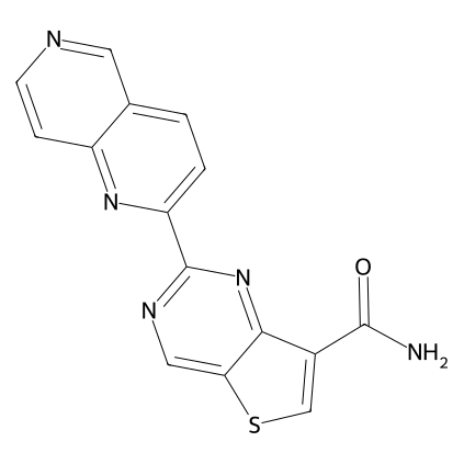 NC(=O)c1csc2cnc(-c3ccc4cnccc4n3)nc12